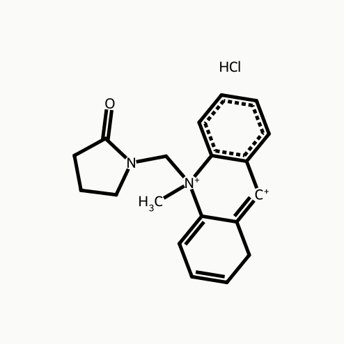 C[N+]1(CN2CCCC2=O)C2=CC=CCC2=[C+]c2ccccc21.Cl